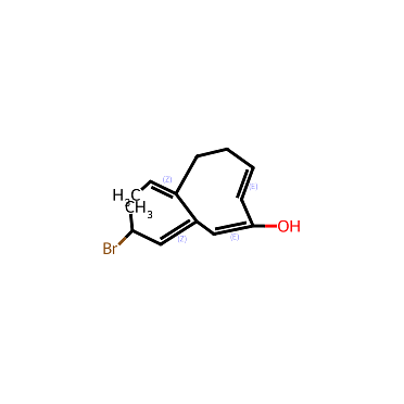 C\C=C1\CC/C=C/C(O)=C\C1=C\C(C)Br